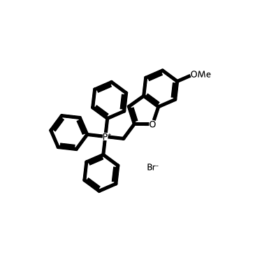 COc1ccc2cc(C[P+](c3ccccc3)(c3ccccc3)c3ccccc3)oc2c1.[Br-]